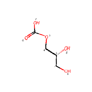 O=C(O)OC[C@H](O)CO